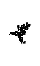 CC(=O)N1CCC(Oc2cc3nccc(N[C@H](C)c4cccc(C(F)F)c4F)c3cc2N2CCN(C(C)=O)CC2)CC1